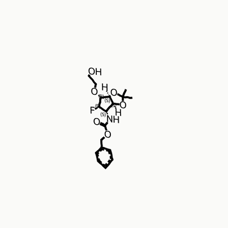 CC1(C)O[C@@H]2[C@@H](OCCO)[C@H](F)[C@@H](NC(=O)OCc3ccccc3)[C@@H]2O1